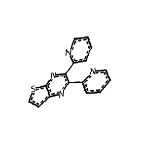 c1ccc(-c2nc3ccsc3nc2-c2ccccn2)nc1